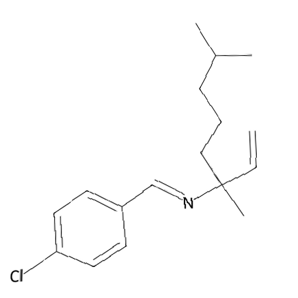 C=CC(C)(CCCC(C)C)N=Cc1ccc(Cl)cc1